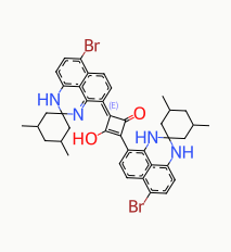 CC1CC(C)CC2(C1)N=c1/c(=C3/C(=O)C(c4ccc5c(Br)ccc6c5c4NC4(CC(C)CC(C)C4)N6)=C3O)ccc3c(Br)ccc(c13)N2